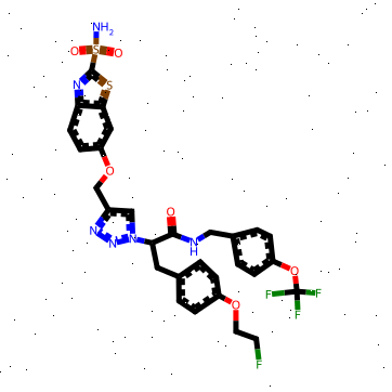 NS(=O)(=O)c1nc2ccc(OCc3cn(C(Cc4ccc(OCCF)cc4)C(=O)NCc4ccc(OC(F)(F)F)cc4)nn3)cc2s1